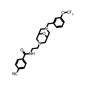 N#Cc1ccc(C(=O)NCCN2CC3CN(Cc4cccc(OC(F)(F)F)c4)CC(C2)O3)cc1